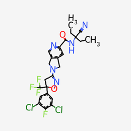 CCC(C#N)(CC)NC(=O)c1cc2c(cn1)CN(C1=NOC(c3cc(Cl)c(F)c(Cl)c3)(C(F)(F)F)C1)C2